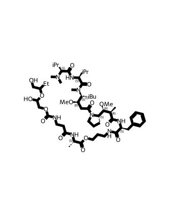 CCC(CO)OC(O)COC(=O)NCCC(=O)N[C@@H](C)C(=O)OCCCNC(=O)[C@H](Cc1ccccc1)NC(=O)[C@H](C)[C@@H](OC)[C@@H]1CCCN1C(=O)C[C@@H](OC)[C@H]([C@@H](C)CC)N(C)C(=O)[C@@H](NC(=O)[C@H](C(C)C)N(C)C)C(C)C